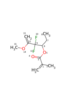 C=C(C)C(=O)OC(CC)C(F)(F)C(=C)OC